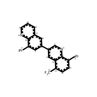 CC(C)c1cc(-c2cnc3c(C(C)C)ccc(C(F)(F)F)c3c2)cc2cccnc12